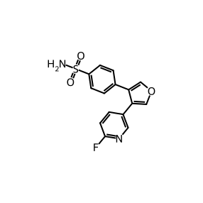 NS(=O)(=O)c1ccc(-c2cocc2-c2ccc(F)nc2)cc1